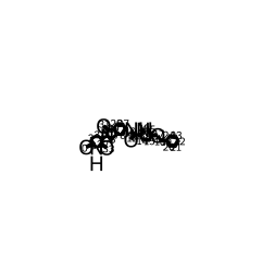 O=C1CCC(N2Cc3cc(NC(=O)c4ccc(OCc5ccccc5)cn4)ccc3C2=O)C(=O)N1